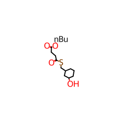 CCCCOC(=O)CCC(=O)SCC1CCCC(O)C1